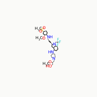 COc1cc(S(C)(=O)=O)ccc1NCC#Cc1cc2c(NC3CCN(CC(CO)OC)CC3)cccc2n1CC(F)(F)F